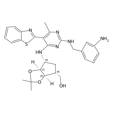 Cc1nc(NCc2cccc(N)c2)nc(N[C@@H]2C[C@H](CO)[C@H]3OC(C)(C)O[C@H]32)c1-c1nc2ccccc2s1